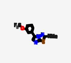 CNc1nn2c(-c3cccc(OC(F)(F)F)c3)cnc2s1